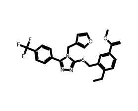 C=C(OC)c1ccc(CC)c(CSc2nnc(-c3ccc(C(F)(F)F)cc3)n2Cc2ccoc2)c1